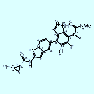 CNC(=O)N(C)c1c(F)c(Cl)c(-c2ccn3nc(NC(=O)[C@@H]4C[C@@H]4F)cc3c2)c2cn[nH]c12